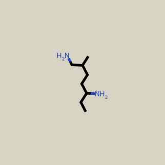 CCC(N)CCC(C)CN